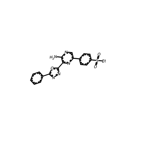 CCS(=O)(=O)c1ccc(-c2cnc(N)c(-c3nnc(-c4ccccc4)o3)n2)cc1